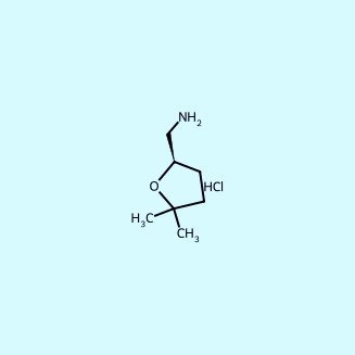 CC1(C)CC[C@H](CN)O1.Cl